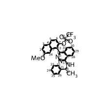 COc1ccc2ccc(OS(=O)(=O)C(F)(F)F)c(-c3nnc(N[C@H](C)c4ccccc4)c4ccccc34)c2c1